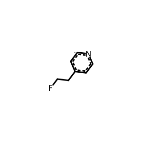 FCCc1c[c]ncc1